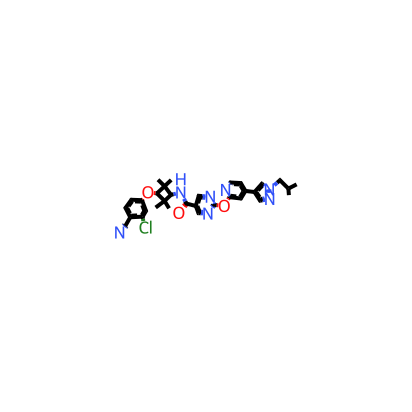 CC(C)Cn1cc(-c2ccnc(Oc3ncc(C(=O)NC4C(C)(C)C(Oc5ccc(C#N)c(Cl)c5)C4(C)C)cn3)c2)cn1